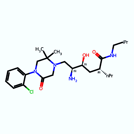 CCC[C@H](C[C@H](O)[C@@H](N)CN1CC(=O)N(c2ccccc2Cl)CC1(C)C)C(=O)NCC(C)C